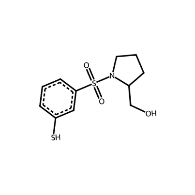 O=S(=O)(c1cccc(S)c1)N1CCCC1CO